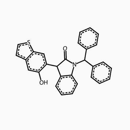 O=C1C(c2cc3sccc3cc2O)c2ccccc2N1C(c1ccccc1)c1ccccc1